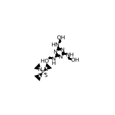 OCNc1nc(NCO)nc(NCO)n1.S=P(N1CC1)(N1CC1)N1CC1